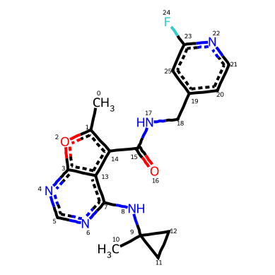 Cc1oc2ncnc(NC3(C)CC3)c2c1C(=O)NCc1ccnc(F)c1